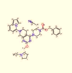 CN1CCC[C@H]1COc1nc2c(c(N3CCN(C(=O)OCc4ccccc4)[C@@H](CC#N)C3)n1)CCN(c1cccc3cccn13)C2